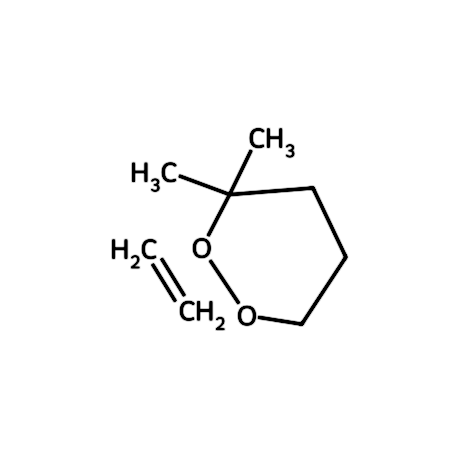 C=C.CC1(C)CCCOO1